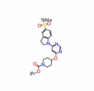 CNS(=O)(=O)c1ccc2c(c1)CCN2c1cc(OC2CCN(C(=O)OC(C)C)CC2)ncn1